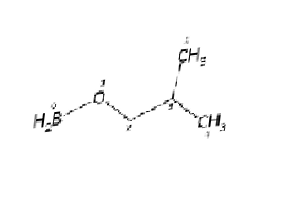 BOCC(C)C